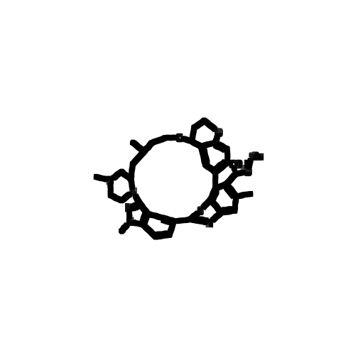 Cc1cc2nc3sc2c(c1[C@H](OC(C)(C)C)C(=O)O)-c1ccc2c(c1)C(CCCC(C)CC1CN(C)CCN1c1nn(C)c4ccc-3cc14)CCO2